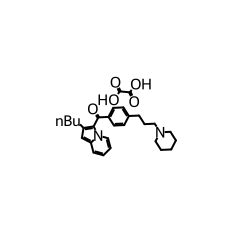 CCCCc1cc2ccccn2c1C(=O)c1ccc(CCCN2CCCCC2)cc1.O=C(O)C(=O)O